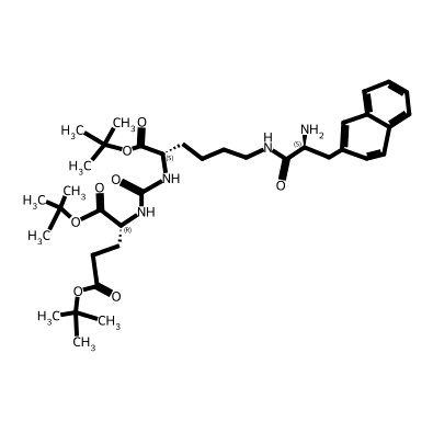 CC(C)(C)OC(=O)CC[C@@H](NC(=O)N[C@@H](CCCCNC(=O)[C@@H](N)Cc1ccc2ccccc2c1)C(=O)OC(C)(C)C)C(=O)OC(C)(C)C